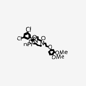 CCCC1CCN(CCOc2ccc(OC)c(OC)c2)C(=O)C(C)N1S(=O)(=O)c1cc(Cl)cc(Cl)c1